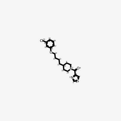 O=C(c1cscn1)N1CCC(CCCCOc2cc[c]c(Cl)c2)CC1